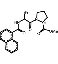 COC(=O)[C@@H]1CCCN1C(=O)C(NC(=O)c1cccc2ccccc12)C(C)C